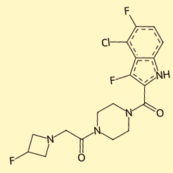 O=C(CN1CC(F)C1)N1CCN(C(=O)c2[nH]c3ccc(F)c(Cl)c3c2F)CC1